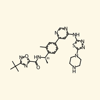 Cc1cc(-c2cc(Nc3nnc(N4CCNCC4)s3)ncn2)ccc1[C@@H](C)NC(=O)c1nc(C(C)(C)C)no1